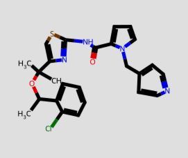 CC(OC(C)(C)c1csc(NC(=O)c2cccn2Cc2ccncc2)n1)c1ccccc1Cl